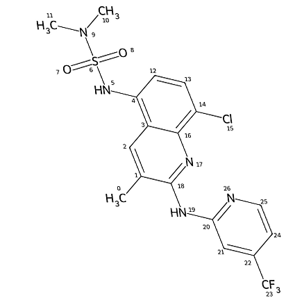 Cc1cc2c(NS(=O)(=O)N(C)C)ccc(Cl)c2nc1Nc1cc(C(F)(F)F)ccn1